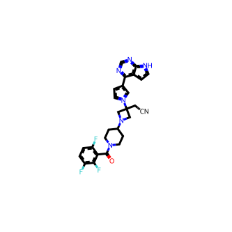 N#CCC1(n2ccc(-c3ncnc4[nH]ccc34)c2)CN(C2CCN(C(=O)c3c(F)ccc(F)c3F)CC2)C1